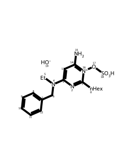 CCCCCCc1nc(N(CC)Cc2ccccc2)cc(N)[n+]1OS(=O)(=O)O.[OH-]